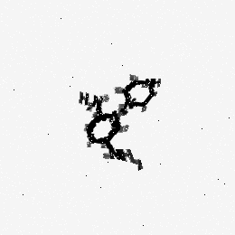 Nc1ccc(N)[n+](N2CCNCC2)c1